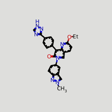 CCOc1ccc2cn(-c3ccc4nn(C)cc4c3)c(=O)c(-c3ccc(-c4nc[nH]n4)cc3)c2n1